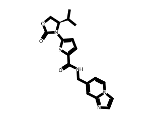 CC(C)[C@@H]1COC(=O)N1c1ccc(C(=O)NCc2ccn3ccnc3c2)s1